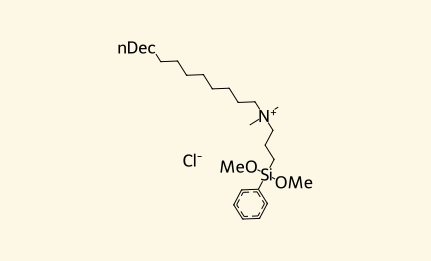 CCCCCCCCCCCCCCCCCC[N+](C)(C)CCC[Si](OC)(OC)c1ccccc1.[Cl-]